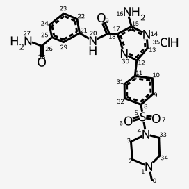 CN1CCN(S(=O)(=O)c2ccc(-c3cnc(N)c(C(=O)Nc4cccc(C(N)=O)c4)n3)cc2)CC1.Cl